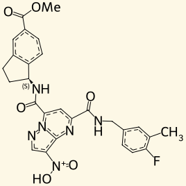 COC(=O)c1ccc2c(c1)CC[C@@H]2NC(=O)c1cc(C(=O)NCc2ccc(F)c(C)c2)nc2c([N+](=O)O)cnn12